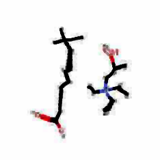 CC(C)(C)CCCCCC(=O)[O-].CC[N+](CC)(CC)CC(C)O